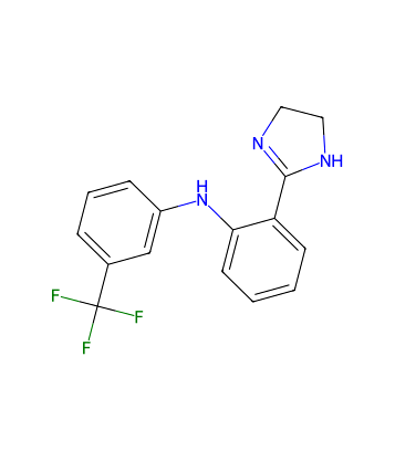 FC(F)(F)c1cccc(Nc2ccccc2C2=NCCN2)c1